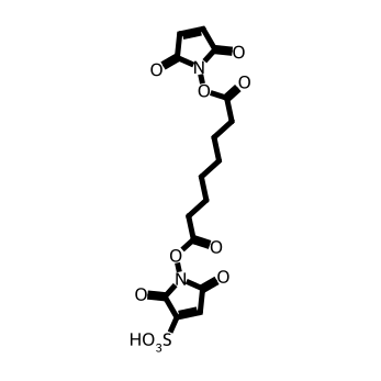 O=C(CCCCCCC(=O)ON1C(=O)C=C(S(=O)(=O)O)C1=O)ON1C(=O)C=CC1=O